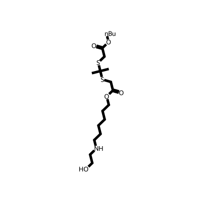 CCCCOC(=O)CSC(C)(C)SCC(=O)OCCCCCCNCCO